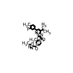 Cc1nnc(C(=O)N2CCN(C(=O)c3cn4nc(-c5ccc(C)c(F)c5)cc(C(C)C)c4n3)C(C)(C)C2)o1